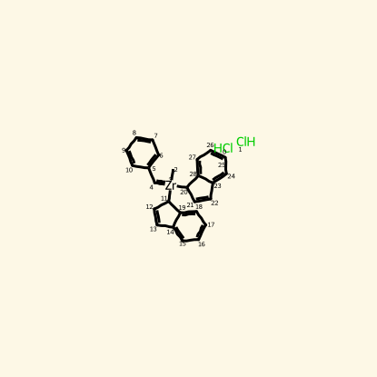 Cl.Cl.[CH3][Zr](=[CH]c1ccccc1)([CH]1C=Cc2ccccc21)[CH]1C=Cc2ccccc21